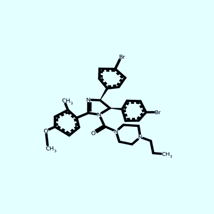 CCCN1CCN(C(=O)N2C(c3ccc(OC)cc3C)=N[C@@H](c3ccc(Br)cc3)[C@H]2c2ccc(Br)cc2)CC1